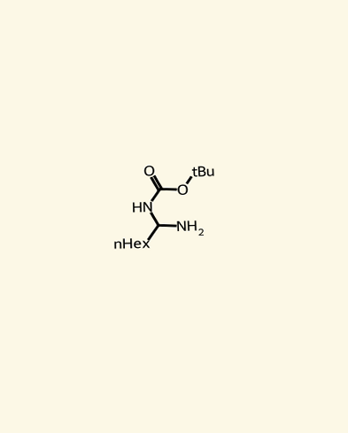 CCCCCCC(N)NC(=O)OC(C)(C)C